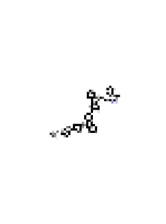 C=C(/C=C\CCCn1c2ccccc2c2cc(-c3ccc4c(c3)c3ccccc3n4-c3ccc(-c4ccc(C#N)cc4)cc3)ccc21)c1ccccc1